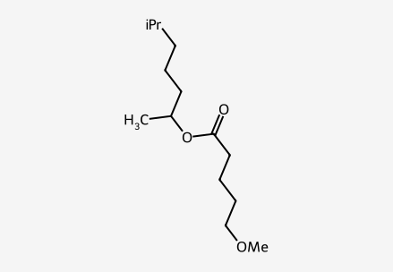 COCCCCC(=O)OC(C)CCCC(C)C